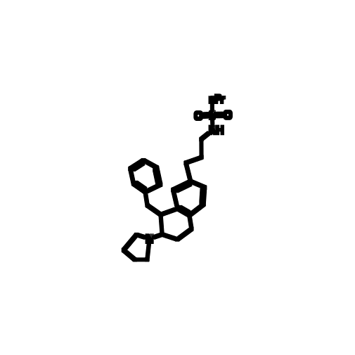 CCCS(=O)(=O)NCCCc1ccc2c(c1)C(Cc1ccccc1)C(N1CCCC1)CC2